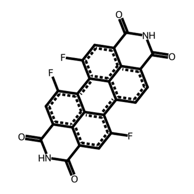 O=C1NC(=O)c2cc(F)c3c4c(F)cc5c6c(cc(F)c(c7ccc1c2c73)c64)C(=O)NC5=O